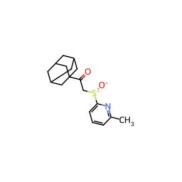 Cc1cccc([S+]([O-])CC(=O)C23CC4CC(CC(C4)C2)C3)n1